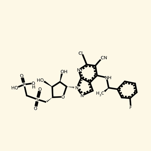 C[C@@H](Nc1c(C#N)c(Cl)nc2c1cnn2[C@@H]1O[C@H](CS(=O)(=O)CP(=O)(O)O)[C@@H](O)[C@H]1O)c1cccc(F)c1